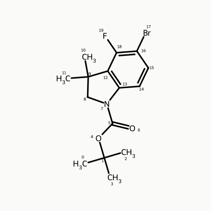 CC(C)(C)OC(=O)N1CC(C)(C)c2c1ccc(Br)c2F